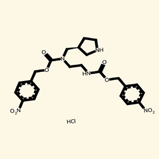 Cl.O=C(NCCN(C[C@H]1CCNC1)C(=O)OCc1ccc([N+](=O)[O-])cc1)OCc1ccc([N+](=O)[O-])cc1